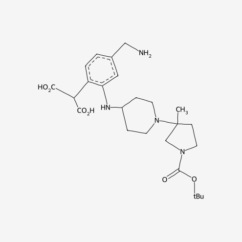 CC(C)(C)OC(=O)N1CCC(C)(N2CCC(Nc3cc(CN)ccc3C(C(=O)O)C(=O)O)CC2)C1